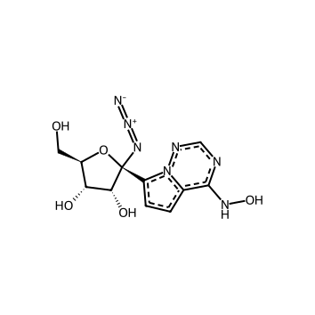 [N-]=[N+]=N[C@@]1(c2ccc3c(NO)ncnn23)O[C@H](CO)[C@@H](O)[C@H]1O